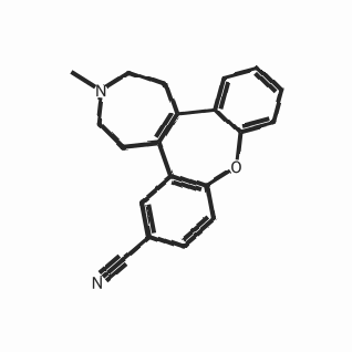 CN1CCC2=C(CC1)c1cc(C#N)ccc1Oc1ccccc12